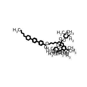 C=C1CC(OC(=O)C(CCCCCCOC(=O)c2ccc(-c3ccc(C4CCC(CCCCC)CC4)cc3)cc2)(Cc2cc(C(C)(C)C)c(O)c(C(C)(C)C)c2)C(=O)OC2CC(C)(C)N(C)C(C)(C)C2)CC(=C)N1C